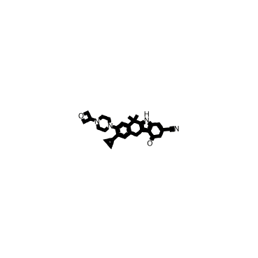 CC1(C)c2cc(N3CCN(C4COC4)CC3)c(C3CC3)cc2Cc2c1[nH]c1c2C(=O)CC(C#N)=C1